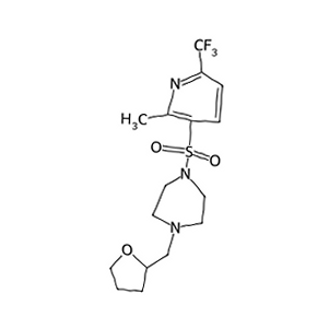 Cc1nc(C(F)(F)F)ccc1S(=O)(=O)N1CCN(CC2CCCO2)CC1